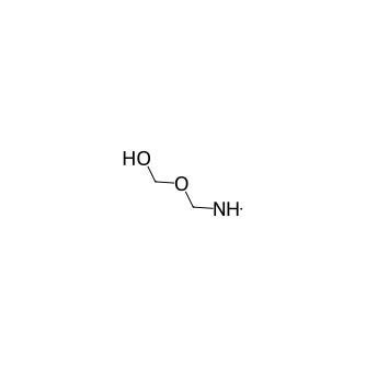 [NH]COCO